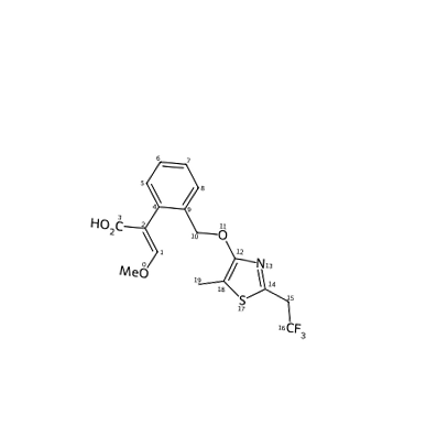 COC=C(C(=O)O)c1ccccc1COc1nc(CC(F)(F)F)sc1C